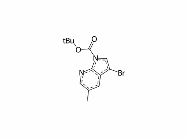 Cc1cnc2c(c1)c(Br)cn2C(=O)OC(C)(C)C